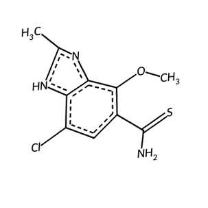 COc1c(C(N)=S)cc(Cl)c2[nH]c(C)nc12